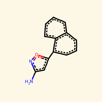 Nc1cc(-c2cccc3ccccc23)on1